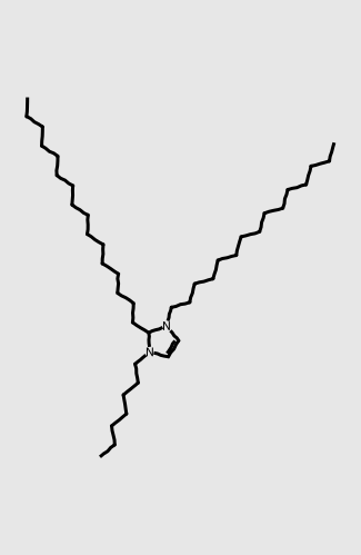 CCCCCCCCCCCCCCCCC1N(CCCCCCC)C=CN1CCCCCCCCCCCCCCC